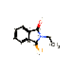 CCN1C(=O)c2ccccc2C1=P